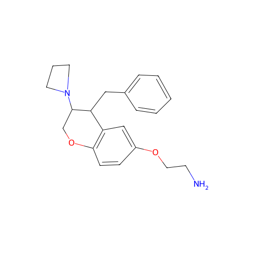 NCCOc1ccc2c(c1)C(Cc1ccccc1)C(N1CCC1)CO2